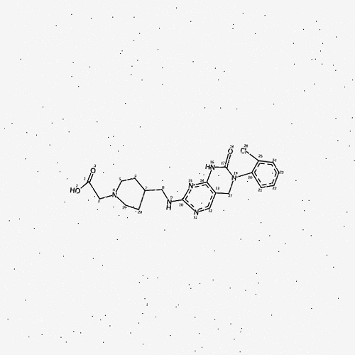 O=C(O)CN1CCC(CNc2ncc3c(n2)NC(=O)N(c2ccccc2Cl)C3)CC1